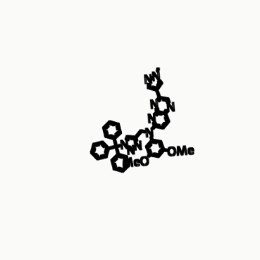 COc1cc(OC)cc(N(Cc2cn(C(c3ccccc3)(c3ccccc3)c3ccccc3)nn2)c2ccc3ncc(-c4cnn(C)c4)nc3n2)c1